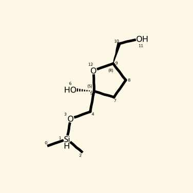 C[SiH](C)OC[C@]1(O)CC[C@H](CO)O1